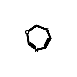 C1=CSCOC=N1